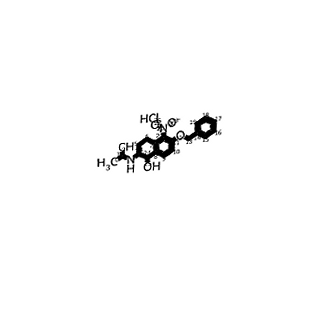 CC(C)NC1CCc2c(ccc(OCc3ccccc3)c2[N+](=O)[O-])C1O.Cl